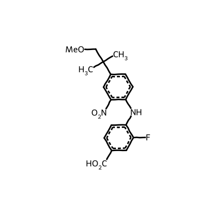 COCC(C)(C)c1ccc(Nc2ccc(C(=O)O)cc2F)c([N+](=O)[O-])c1